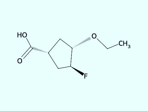 CCO[C@H]1C[C@@H](C(=O)O)C[C@@H]1F